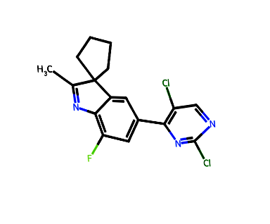 CC1=Nc2c(F)cc(-c3nc(Cl)ncc3Cl)cc2C12CCCC2